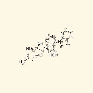 CNC[C@H]1O[C@@H](n2cnc3c(N4CCc5ccccc54)ncnc32)[C@H](O)[C@@H]1O.Cl